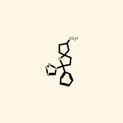 O=C(O)C1CCC2(CCC(c3ccccc3)(n3cnnn3)O2)C1